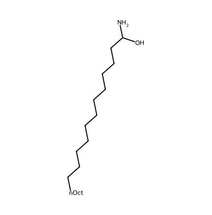 CCCCCCCCCCCCCCCCCCCC(N)O